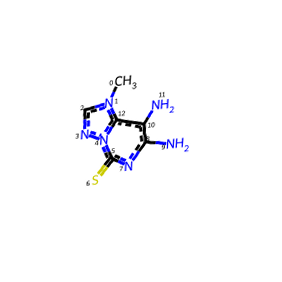 Cn1cnn2c(=S)nc(N)c(N)c12